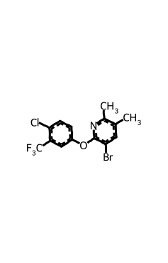 Cc1cc(Br)c(Oc2ccc(Cl)c(C(F)(F)F)c2)nc1C